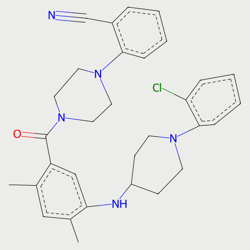 Cc1cc(C)c(C(=O)N2CCN(c3ccccc3C#N)CC2)cc1NC1CCN(c2ccccc2Cl)CC1